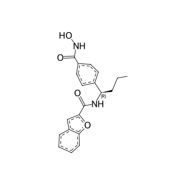 CCC[C@@H](NC(=O)c1cc2ccccc2o1)c1ccc(C(=O)NO)cc1